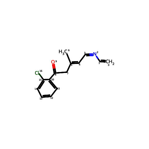 C=C/N=C\C=C(/C)CC(=O)c1ccccc1Cl